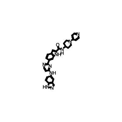 O=C(NC1CCN(c2ccncc2)CC1)c1cc2ccc(-c3nccc(Nc4ccc5[nH]ncc5c4)n3)cc2[nH]1